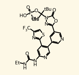 CCNC(=O)Nc1cc(-c2nc(C(F)(F)F)cs2)c(-c2cncc(-c3nn(C(OP(=O)(O)O)(C(C)(C)C)C(C)(C)C)c(=O)o3)c2)cn1